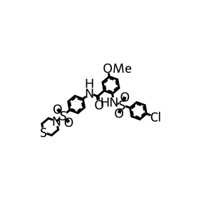 COc1ccc(NS(=O)(=O)c2ccc(Cl)cc2)c(C(=O)Nc2ccc(S(=O)(=O)N3CCSCC3)cc2)c1